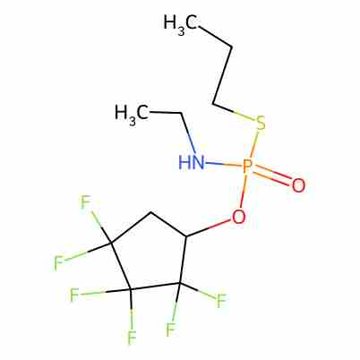 CCCSP(=O)(NCC)OC1CC(F)(F)C(F)(F)C1(F)F